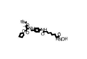 C[C@H](OC(C)(C)C)C(NCc1ccc(NC(=O)CCCCCCC(=O)NO)cc1)C(=O)OC1CCCC1